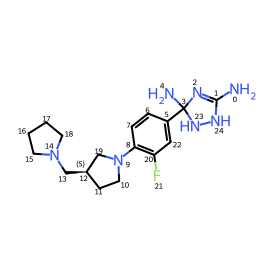 NC1=NC(N)(c2ccc(N3CC[C@@H](CN4CCCC4)C3)c(F)c2)NN1